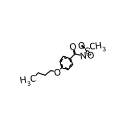 CCCCOc1ccc(C(=O)[N]S(C)(=O)=O)cc1